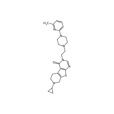 Cc1cccc(N2CCN(CCn3cnc4sc5c(c4c3=O)CCN(C3CC3)C5)CC2)n1